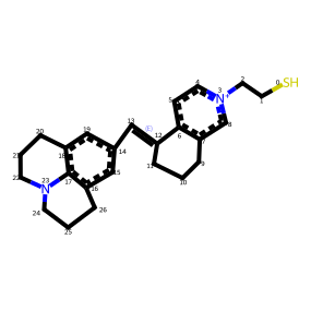 SCC[n+]1ccc2c(c1)CCC/C2=C\c1cc2c3c(c1)CCCN3CCC2